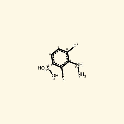 NNc1c(F)cccc1F.O=S(=O)(O)O